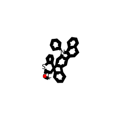 c1ccc(-n2c3cc4c(cc3c3ccc5ccccc5c32)-c2ccccc2C42c3ccccc3Sc3ccccc32)cc1